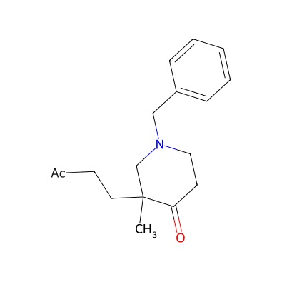 CC(=O)CCC1(C)CN(Cc2ccccc2)CCC1=O